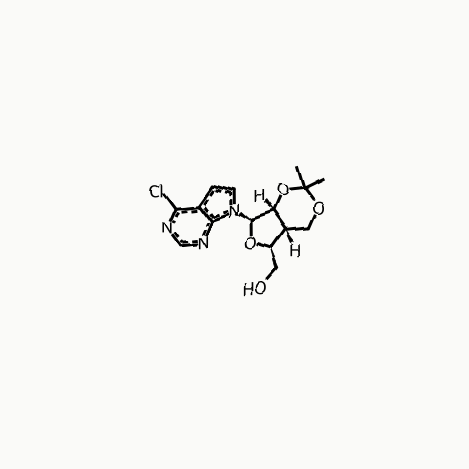 CC1(C)OC[C@H]2[C@@H](O1)[C@H](n1ccc3c(Cl)ncnc31)O[C@@H]2CO